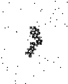 NC(=O)c1csc2ncn(Cc3nnn(C[C@H](O)c4cc5cc(Cl)c(F)cc5o4)n3)c(=O)c12